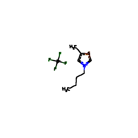 CCCC[n+]1csc(C)c1.F[B-](F)(F)F